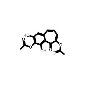 CC(=O)Oc1c(O)cc2cccc(OC(C)=O)c(=O)c2c1O